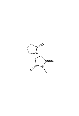 CN1C(=O)CCC1=O.O=C1CCCN1